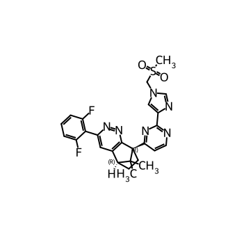 CC1(C)[C@H]2CC[C@@]1(c1ccnc(-c3cn(CS(C)(=O)=O)cn3)n1)c1nnc(-c3c(F)cccc3F)cc12